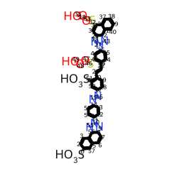 O=S(=O)(O)c1ccc2c(ccc3nn(-c4ccc(N=Nc5ccc(C=Cc6ccc(-n7nc8cc(SOOO)c9ccccc9c8n7)cc6SOOO)c(S(=O)(=O)O)c5)cc4)nc32)c1